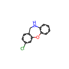 Clc1ccc2c(c1)Oc1ccccc1NC2